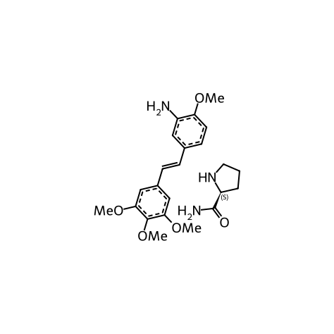 COc1ccc(C=Cc2cc(OC)c(OC)c(OC)c2)cc1N.NC(=O)[C@@H]1CCCN1